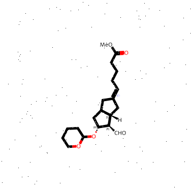 COC(=O)CCC/C=C1\CC2C[C@@H](OC3CCCCO3)[C@H](C=O)[C@H]2C1